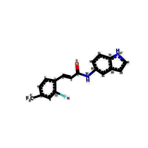 O=C(/C=C/c1ccc(C(F)(F)F)cc1F)Nc1ccc2[nH]ccc2c1